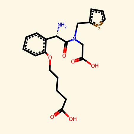 N[C@H](C(=O)N(CC(=O)O)Cc1cccs1)c1ccccc1OCCCCC(=O)O